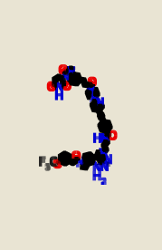 Cn1c(=O)n(C2CCC(=O)NC2=O)c2ccc(CCC(=O)N3CCN(c4ccc(C#Cc5ccc(C(=O)NCCCn6cc(-c7ccc8c(c7)CCN8C(=O)Cc7cccc(OC(F)(F)F)c7)c7c(N)ncnc76)cc5)cn4)CC3)cc21